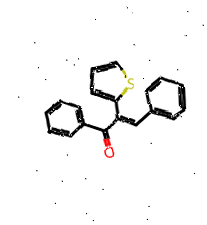 O=C(C(=Cc1ccccc1)c1cccs1)c1ccccc1